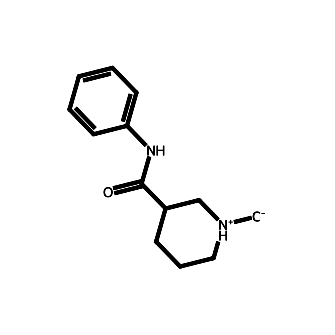 [CH2-][NH+]1CCCC(C(=O)Nc2ccccc2)C1